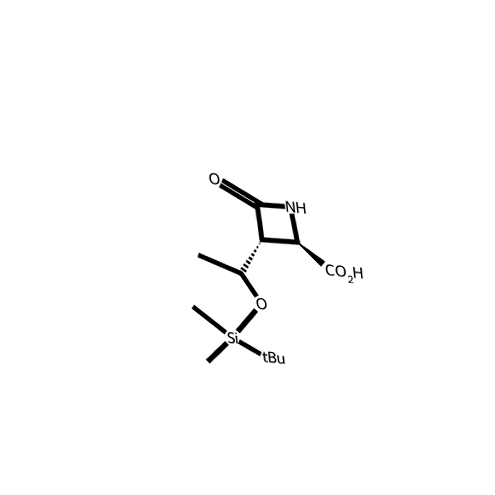 CC(O[Si](C)(C)C(C)(C)C)[C@@H]1C(=O)N[C@H]1C(=O)O